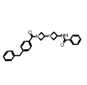 O=C(NC1CN(C2CN(C(=O)c3ccc(Cc4ccccc4)cc3)C2)C1)c1ccccc1